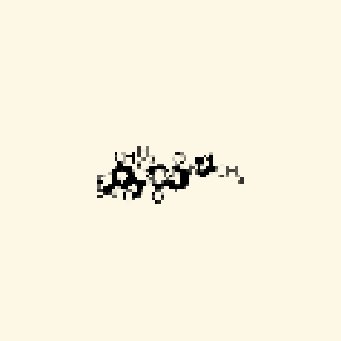 Cc1cc2c(c(C(F)(F)F)c1)OCC2N1C(=O)c2ccc(-n3cnc(C)c3)c(=O)n2CC1C